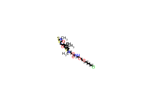 CN1C(=O)/C(=C\c2cc3c(o2)-c2sc(N(C)CCOC(=O)NCCOCCOCCCCCCCl)cc2[Si]3(C)C)SC1=S